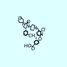 Cc1cccc([C@@H]2CN(C3CCOCC3)C(=O)N2C2CCN(Cc3ccc(Oc4ccc(C(=O)O)cc4)nc3Cl)CC2)c1